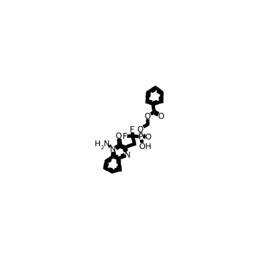 Nn1c(=O)c(CC(F)(F)P(=O)(O)OCOC(=O)c2ccccc2)nc2ccccc21